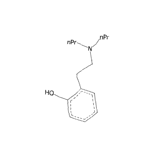 CCCN(CCC)CCc1ccccc1O